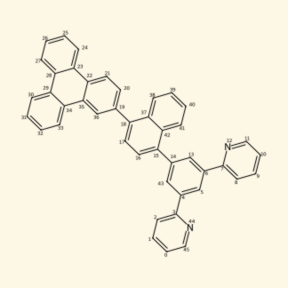 c1ccc(-c2cc(-c3ccccn3)cc(-c3ccc(-c4ccc5c6ccccc6c6ccccc6c5c4)c4ccccc34)c2)nc1